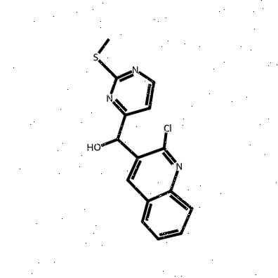 CSc1nccc(C(O)c2cc3ccccc3nc2Cl)n1